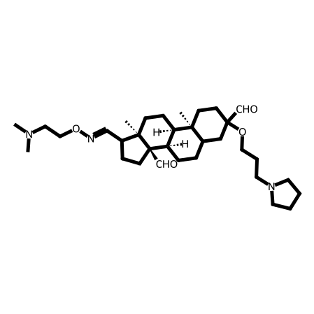 CN(C)CCO/N=C/C1CC[C@@]2(C=O)[C@@H]3CCC4CC(C=O)(OCCCN5CCCC5)CC[C@]4(C)[C@@H]3CC[C@]12C